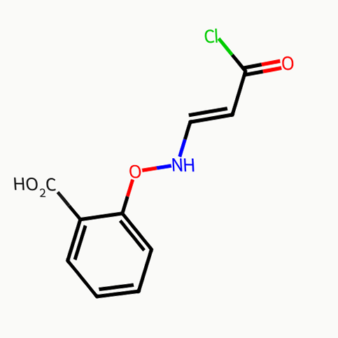 O=C(Cl)C=CNOc1ccccc1C(=O)O